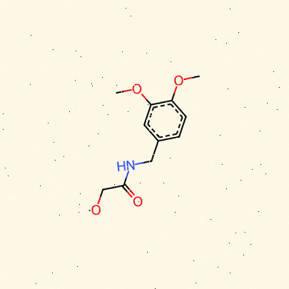 COc1ccc(CNC(=O)C[O])cc1OC